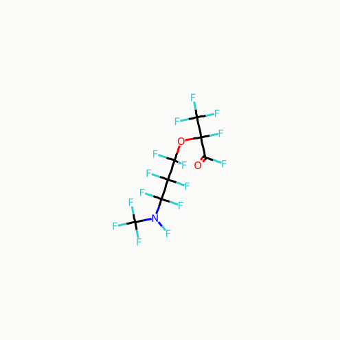 O=C(F)C(F)(OC(F)(F)C(F)(F)C(F)(F)N(F)C(F)(F)F)C(F)(F)F